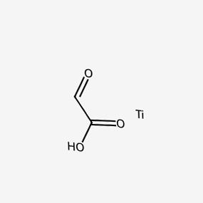 O=CC(=O)O.[Ti]